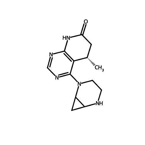 C[C@H]1CC(=O)Nc2ncnc(N3CCNC4CC43)c21